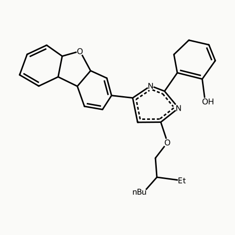 CCCCC(CC)COc1cc(C2=CC3OC4C=CC=CC4C3C=C2)nc(C2=C(O)C=CCC2)n1